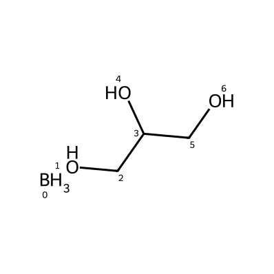 B.OCC(O)CO